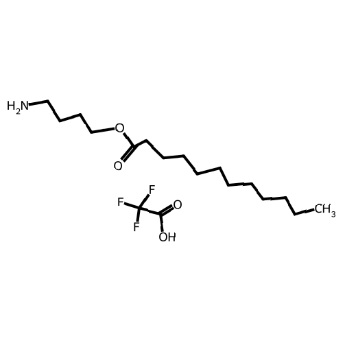 CCCCCCCCCCCC(=O)OCCCCN.O=C(O)C(F)(F)F